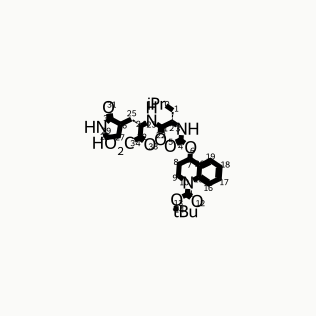 CC(C)C[C@H](NC(=O)OC1CCN(C(=O)OC(C)(C)C)c2ccccc21)C(=O)N[C@@H](CC1CCNC1=O)C(=O)C(=O)O